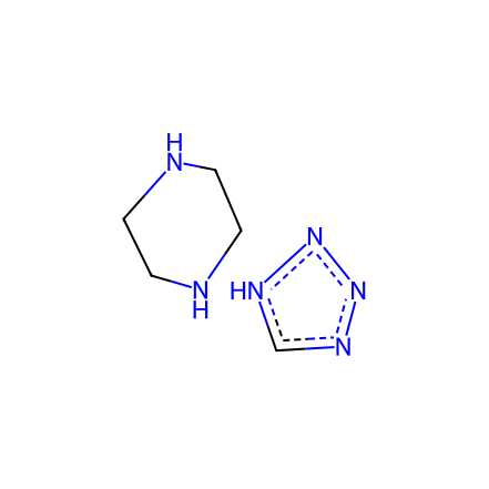 C1CNCCN1.c1nnn[nH]1